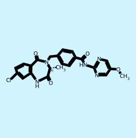 COc1cnc(NC(=O)c2ccc(CN3C(=O)c4ccc(Cl)cc4NC(=O)[C@H]3C)cc2)nc1